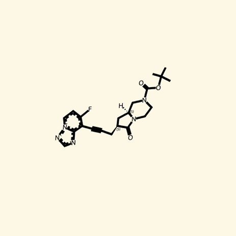 CC(C)(C)OC(=O)N1CCN2C(=O)[C@@H](CC#Cc3c(F)ccn4ncnc34)C[C@H]2C1